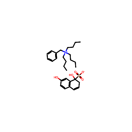 CCCC[N+](CCCC)(CCCC)Cc1ccccc1.O=S(=O)([O-])C1(O)CC=Cc2ccc(O)cc21